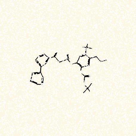 CCCc1cc(NC(=O)OC(C)(C)C)c(NC(=O)CC(=O)c2cccc(-c3cccnc3)c2)cc1C(F)(F)F